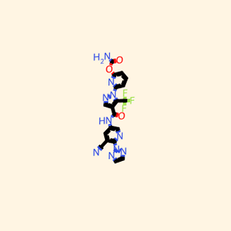 N#Cc1cc(NC(=O)c2cnn(-c3cccc(OC(N)=O)n3)c2C(F)(F)F)cnc1-n1nccn1